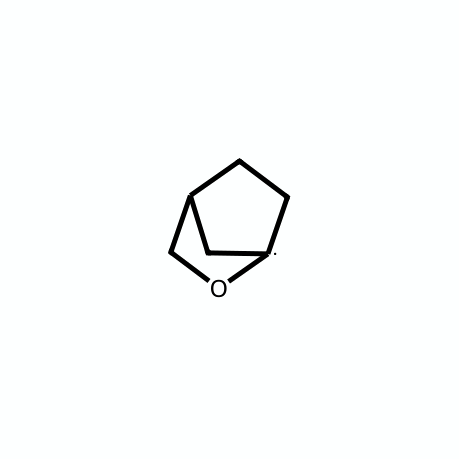 C1CC2CO[C]1C2